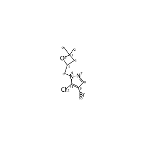 CC1(C)CC(Cn2ncc(Br)c2Cl)O1